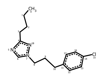 CCCCc1ncn(CCCc2ccc(Cl)cc2)n1